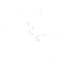 CCCCCCCCCCCCCCN(CCC1CCCN(C(=O)CN(CCCCCCCCC)CCN(CCCCCCCCC)CCCCCCCCC)C1)C(CCCCCCCCCC)C(=O)O